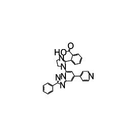 O=C(O)c1ccccc1C1=NCCN1c1cc(-c2ccncc2)cc2nc(-c3ccccc3)nn12